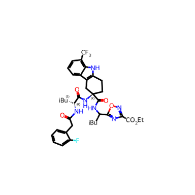 CCOC(=O)c1noc(C(NC(=O)[C@@]2(NC(=O)[C@H](NC(=O)Cc3ccccc3F)[C@@H](C)CC)CCc3[nH]c4c(C(F)(F)F)cccc4c3C2)C(C)CC)n1